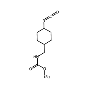 CC(C)(C)OC(=O)NCC1CCC(N=C=O)CC1